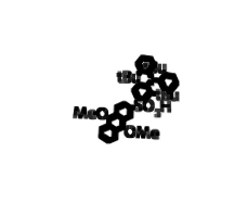 CC(C)(C)c1ccccc1I(c1ccccc1C(C)(C)C)c1ccccc1C(C)(C)C.COc1c2ccccc2c(OC)c2cc(S(=O)(=O)O)ccc12